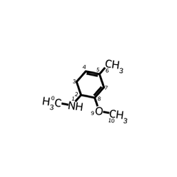 CNC1CC=C(C)C=C1OC